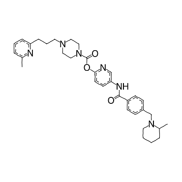 Cc1cccc(CCCN2CCN(C(=O)Oc3ccc(NC(=O)c4ccc(CN5CCCCC5C)cc4)cn3)CC2)n1